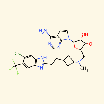 CN(C[C@H]1OC(n2ccc3c(N)ncnc32)[C@H](O)[C@@H]1O)C1CC(CCc2nc3cc(C(F)(F)F)c(Cl)cc3[nH]2)C1